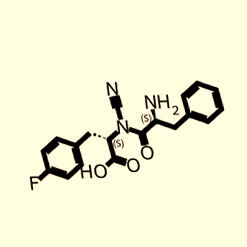 N#CN(C(=O)[C@@H](N)Cc1ccccc1)[C@@H](Cc1ccc(F)cc1)C(=O)O